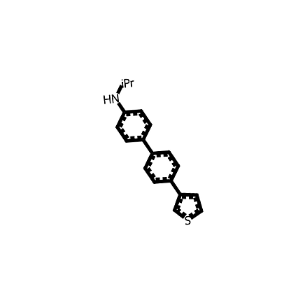 CC(C)Nc1ccc(-c2ccc(-c3ccsc3)cc2)cc1